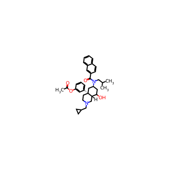 CC(=O)Oc1cccc([C@@]23CCN(CC4CC4)C[C@H]2C(O)C[C@H](N(CC(C)C)C(=O)c2ccc4ccccc4c2)C3)c1